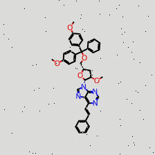 COc1ccc(C(OC[C@H]2[CH][C@@H](OC)[C@H](n3cnc4c(/C=C/c5ccccc5)ncnc43)O2)(c2ccccc2)c2ccc(OC)cc2)cc1